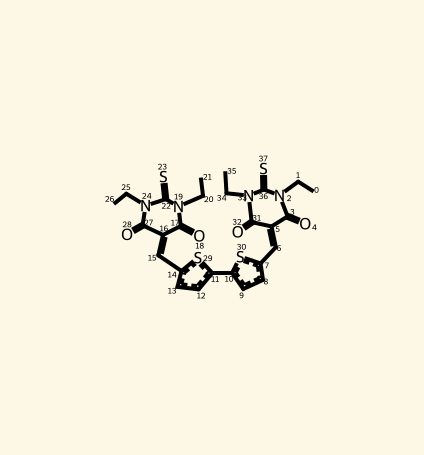 CCN1C(=O)C(=Cc2ccc(-c3ccc(C=C4C(=O)N(CC)C(=S)N(CC)C4=O)s3)s2)C(=O)N(CC)C1=S